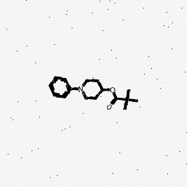 CC(C)(C)C(=O)OC1CCN(c2ccccc2)CC1